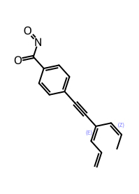 C=C/C=C(C#Cc1ccc(C(=O)N=O)cc1)\C=C/C